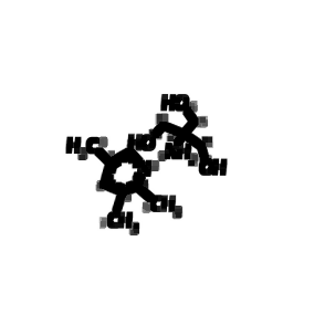 Cc1cnc(C)c(C)c1.NC(CO)(CO)CO